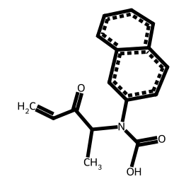 C=CC(=O)C(C)N(C(=O)O)c1ccc2ccccc2c1